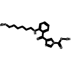 CCCCCCCCCCCCCCCCNc1ccccc1C(=O)c1cn(C(=O)OC(C)(C)C)cn1